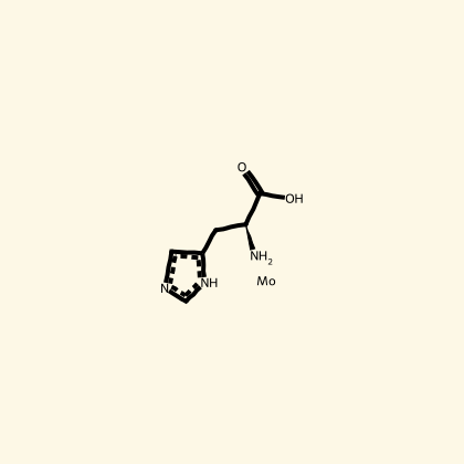 N[C@@H](Cc1cnc[nH]1)C(=O)O.[Mo]